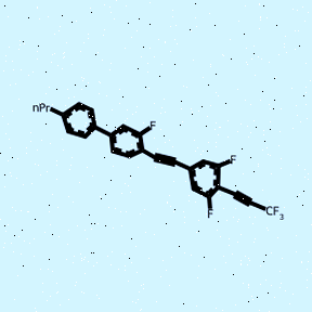 CCCc1ccc(-c2ccc(C#Cc3cc(F)c(C#CC(F)(F)F)c(F)c3)c(F)c2)cc1